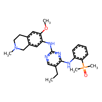 CCc1cnc(Nc2cc3c(cc2OC)CCN(C)C3)nc1Nc1ccccc1P(C)(C)=O